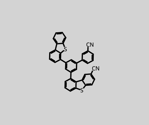 N#Cc1cccc(-c2cc(-c3cccc4c3sc3ccccc34)cc(-c3cccc4sc5ccc(C#N)cc5c34)c2)c1